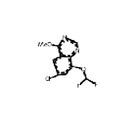 COc1ncnc2c(OC(F)F)cc(Cl)cc12